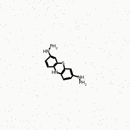 PNc1ccc2c(c1)Sc1cc(NP)ccc1N2